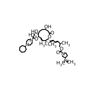 C/C(=C\C=C\[C@@H](C)COC(=O)N1CC[C@@H](N(C)C)C1)[C@H]1OC(=O)C[C@H](O)CC[C@@](C)(O)[C@@H](OC(=O)N2CCN(C3CCCCCC3)CC2)/C=C/[C@@H]1C